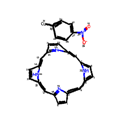 C1=Cc2cc3ccc(cc4nc(cc5ccc(cc1n2)[nH]5)C=C4)[nH]3.O=[N+]([O-])c1cc[c]([Cu])cc1